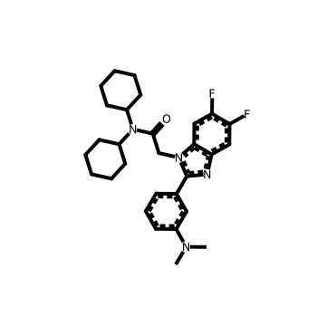 CN(C)c1cccc(-c2nc3cc(F)c(F)cc3n2CC(=O)N(C2CCCCC2)C2CCCCC2)c1